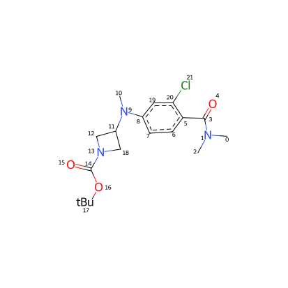 CN(C)C(=O)c1ccc(N(C)C2CN(C(=O)OC(C)(C)C)C2)cc1Cl